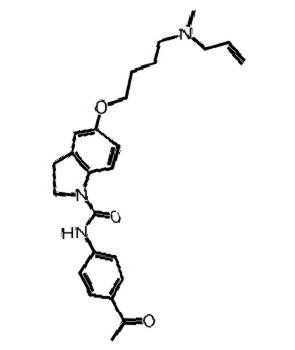 C=CCN(C)CCCCOc1ccc2c(c1)CCN2C(=O)Nc1ccc(C(C)=O)cc1